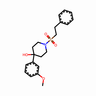 COc1cccc(C2(O)CCN(S(=O)(=O)CCc3ccccc3)CC2)c1